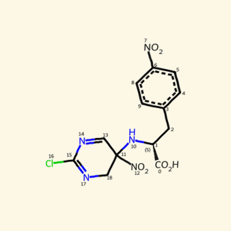 O=C(O)[C@H](Cc1ccc([N+](=O)[O-])cc1)NC1([N+](=O)[O-])C=NC(Cl)=NC1